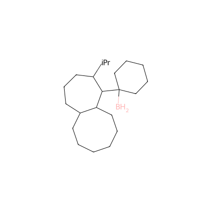 BC1(C2C(C(C)C)CCCC3CCCCCCC32)CCCCC1